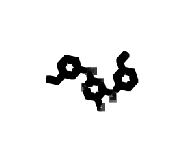 C=Cc1cccc(Nc2ncc(Cl)c(Nc3cccc(C=C)c3)n2)c1